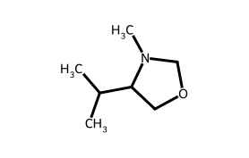 CC(C)C1COCN1C